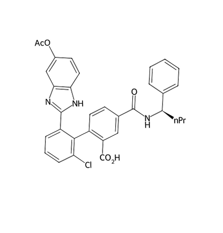 CCC[C@@H](NC(=O)c1ccc(-c2c(Cl)cccc2-c2nc3cc(OC(C)=O)ccc3[nH]2)c(C(=O)O)c1)c1ccccc1